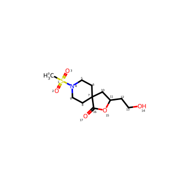 CS(=O)(=O)N1CCC2(CC1)CC(CCO)OC2=O